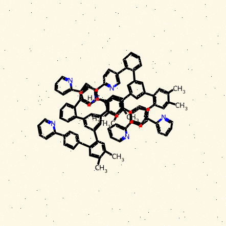 Cc1cc(-c2ccc(-c3ccccn3)cc2)c(-c2cc(-c3ccccc3-c3ccc(-c4ccc(-c5ccccc5-c5cc(-c6cc(C)c(C)cc6-c6ccc(-c7ccccn7)cc6)cc(-c6c(-c7ccc(-c8ccccn8)cc7)ccc(C)c6C)c5)cn4)nc3)cc(-c3cc(C)c(C)cc3-c3ccc(-c4ccccn4)cc3)c2)cc1C